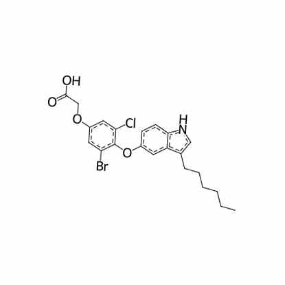 CCCCCCc1c[nH]c2ccc(Oc3c(Cl)cc(OCC(=O)O)cc3Br)cc12